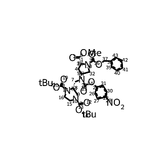 COC(=O)[C@H]1C[C@@H](N(C[C@@H]2CN(C(=O)OC(C)(C)C)CCN2C(=O)OC(C)(C)C)C(=O)Oc2ccc([N+](=O)[O-])cc2)CN1C(=O)OCc1ccccc1